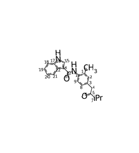 Cc1cc(CC(=O)C(C)C)ccc1NC(=O)c1c[nH]c2ccccc12